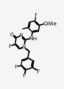 COc1cc(Nc2nc(=O)c(F)cn2Cc2cc(F)c(F)c(F)c2)c(C)cc1F